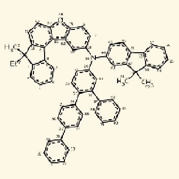 CCC1(C)c2ccccc2-c2c1ccc1oc3ccc(N(c4ccc(-c5ccc(-c6ccccc6)cc5)c(-c5ccccc5)c4)c4ccc5c(c4)C(C)(C)c4ccccc4-5)cc3c21